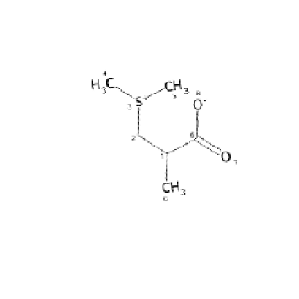 CC(C[S+](C)C)C(=O)[O-]